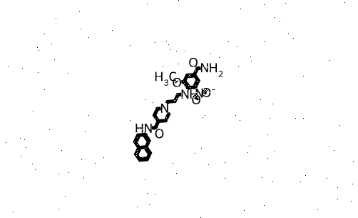 COc1cc(C(N)=O)cc([N+](=O)[O-])c1NCCCN1CCC(C(=O)Nc2ccc3ccccc3c2)CC1